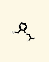 NCc1c[c]ccc1OCC(F)F